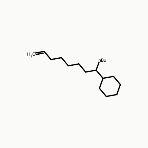 C=CCCCCCC(CCCC)C1CCCCC1